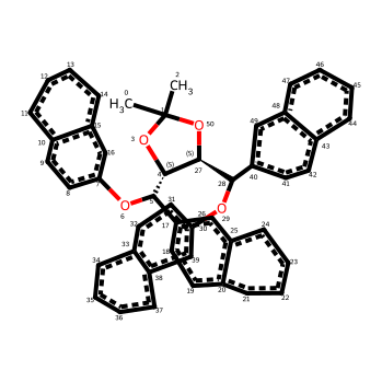 CC1(C)O[C@@H](C(Oc2ccc3ccccc3c2)c2ccc3ccccc3c2)[C@H](C(Oc2ccc3ccccc3c2)c2ccc3ccccc3c2)O1